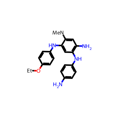 CCOc1ccc(Nc2cc(Nc3ccc(N)cc3)c(N)cc2NC)cc1